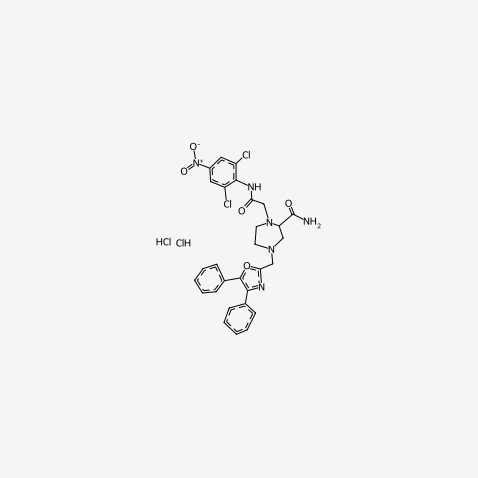 Cl.Cl.NC(=O)C1CN(Cc2nc(-c3ccccc3)c(-c3ccccc3)o2)CCN1CC(=O)Nc1c(Cl)cc([N+](=O)[O-])cc1Cl